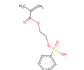 C=C(C)C(=O)OCCOP(=O)(O)c1[c]cccc1